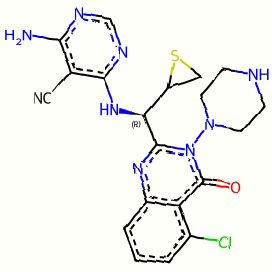 N#Cc1c(N)ncnc1N[C@H](c1nc2cccc(Cl)c2c(=O)n1N1CCNCC1)C1CS1